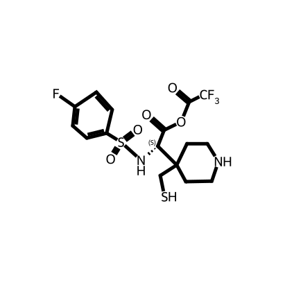 O=C(OC(=O)C(F)(F)F)[C@@H](NS(=O)(=O)c1ccc(F)cc1)C1(CS)CCNCC1